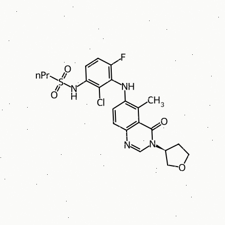 CCCS(=O)(=O)Nc1ccc(F)c(Nc2ccc3ncn([C@H]4CCOC4)c(=O)c3c2C)c1Cl